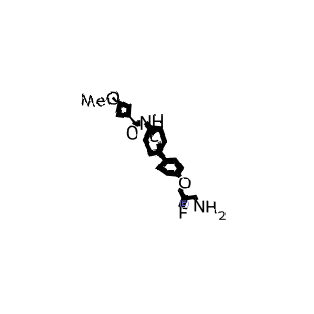 CO[C@H]1C[C@@H](C(=O)NC23CCC(c4ccc(OC/C(=C/F)CN)cc4)(CC2)CC3)C1